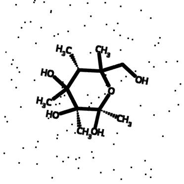 C[C@@H]1C(C)(CO)O[C@@](C)(O)[C@@](C)(O)C1(C)O